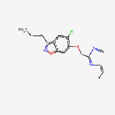 C=N/C(COc1cc2onc(CCC(=O)O)c2cc1Cl)=N\C=C/C